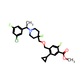 COC(=O)c1cc(C2CC2)c(COCC2(F)CCN([C@H](C)c3cc(F)cc(Cl)c3)CC2)cc1F